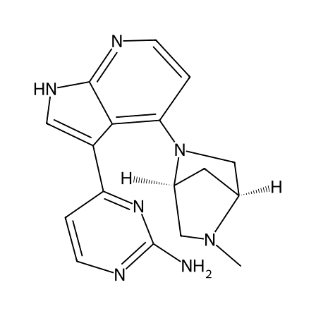 CN1C[C@@H]2C[C@H]1CN2c1ccnc2[nH]cc(-c3ccnc(N)n3)c12